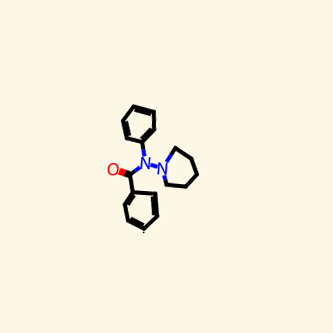 O=C(c1cc[c]cc1)N(c1ccccc1)N1CCCCC1